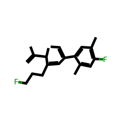 C=C(C)C(C)/C(=C\C(=C/C)c1cc(C)c(F)cc1C)CCCF